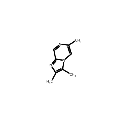 Cc1cn2c(C)c(C)nc2cn1